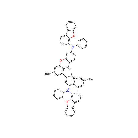 CC(C)(C)c1ccc2c(N(c3ccccc3)c3cccc4c3oc3ccccc34)cc3c4cc(C(C)(C)C)cc5c4c(cc3c2c1)-c1ccc(N(c2ccccc2)c2cccc3c2oc2ccccc23)cc1O5